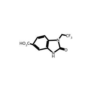 O=C(O)c1ccc2c(c1)[nH]c(=O)n2CC(F)(F)F